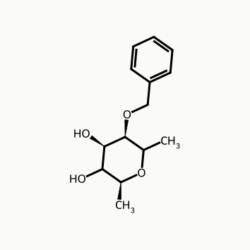 CC1O[C@@H](C)C(O)[C@@H](O)[C@H]1OCc1ccccc1